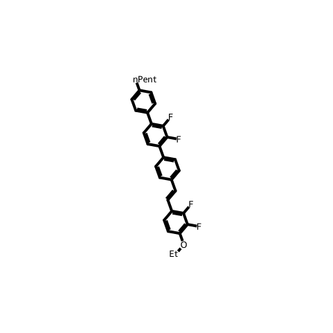 CCCCCc1ccc(-c2ccc(-c3ccc(/C=C/c4ccc(OCC)c(F)c4F)cc3)c(F)c2F)cc1